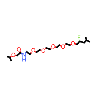 CC(C)CC(F)COCCOCCOCCOCCOCCNC(=O)COC(C)C